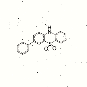 O=S1(=O)c2ccccc2Nc2ccc(-c3ccccc3)cc21